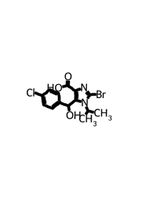 CC(C)n1c(Br)nc(C(=O)O)c1C(O)c1ccc(Cl)cc1